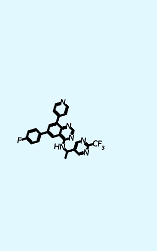 CC(Nc1ncnc2c(-c3ccncc3)cc(-c3ccc(F)cc3)cc12)c1cnc(C(F)(F)F)nc1